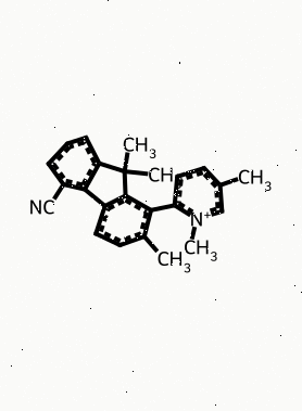 Cc1ccc(-c2c(C)ccc3c2C(C)(C)c2cccc(C#N)c2-3)[n+](C)c1